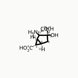 [2H][C@@]1(O)C[C@H]2[C@H](C(=O)O)[C@H]2[C@]1(N)C(=O)O